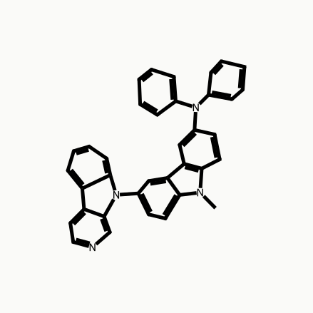 Cn1c2ccc(N(c3ccccc3)c3ccccc3)cc2c2cc(-n3c4ccccc4c4ccncc43)ccc21